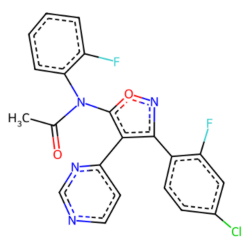 CC(=O)N(c1ccccc1F)c1onc(-c2ccc(Cl)cc2F)c1-c1ccncn1